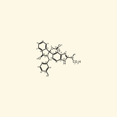 CN(C(=O)O)c1nc2cc(C3(OC(=O)C(F)(F)F)c4ccccc4C(=O)N3Cc3cccc(I)c3)ccc2[nH]1